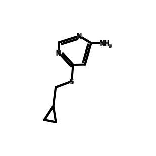 Nc1cc(SCC2CC2)ncn1